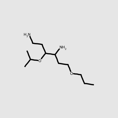 CCCOCCC(N)C(CCN)OC(C)C